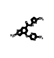 Cn1ccc(NC(=O)c2cc(Oc3cnc(C(F)(F)F)cn3)c3cn(C)nc3c2)n1